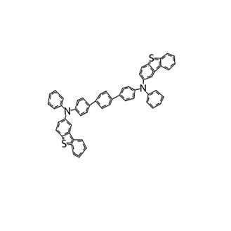 c1ccc(N(c2ccc(-c3ccc(-c4ccc(N(c5ccccc5)c5ccc6sc7ccccc7c6c5)cc4)cc3)cc2)c2ccc3sc4ccccc4c3c2)cc1